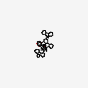 c1ccc(-c2nc(-c3ccccc3-c3cc(-n4c5ccccc5c5ccccc54)cc4c3oc3ccccc34)nc(-c3cccc4oc5ccccc5c34)n2)cc1